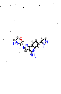 Nc1nc2cc(-c3ccn[nH]3)ccc2c2nn(CC3COCCN3)cc12